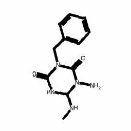 CNC1NC(=O)N(Cc2ccccc2)C(=O)N1N